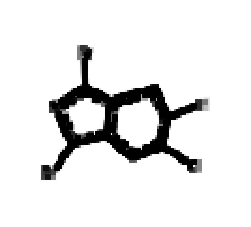 Clc1cc2c(Br)sc(Br)c2cc1Cl